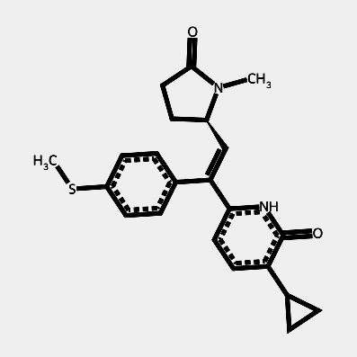 CSc1ccc(/C(=C\[C@H]2CCC(=O)N2C)c2ccc(C3CC3)c(=O)[nH]2)cc1